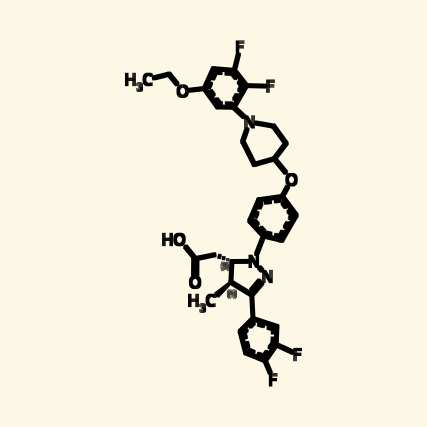 CCOc1cc(F)c(F)c(N2CCC(Oc3ccc(N4N=C(c5ccc(F)c(F)c5)[C@@H](C)[C@@H]4CC(=O)O)cc3)CC2)c1